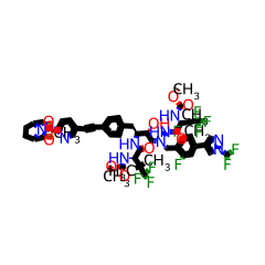 COC(=O)N[C@H](C(=O)N[C@@H](Cc1ccc(C#Cc2ccc(N3CC4CCC(C3)N4S(C)(=O)=O)nc2)cc1)[C@@H](O)CN(Cc1c(F)cc(-c2cnn(C(F)F)c2)cc1F)NC(=O)[C@@H](NC(=O)OC)C(C)(C)C(F)(F)F)C(C)(C)C(F)(F)F